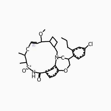 CCCc1cc(Cl)ccc1C1COc2ccc3cc2N(C1)CC1CCC1C(OC)/C=C/CC(C)C(C)[S+]([O-])NC3=O